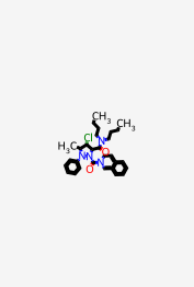 CCCCN(CCCC)C(=O)C1C(Cl)C(C)N(c2ccccc2)N1C(=O)N1C=c2ccccc2=CC1